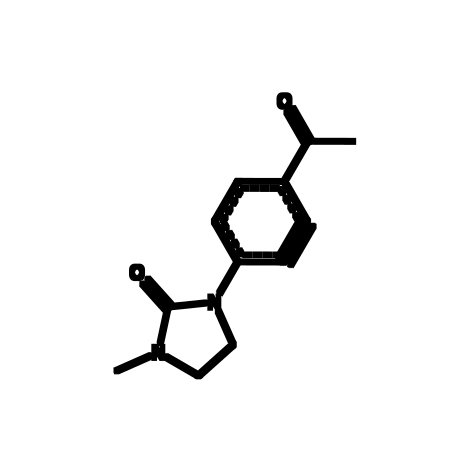 CC(=O)c1c#cc(N2CCN(C)C2=O)cc1